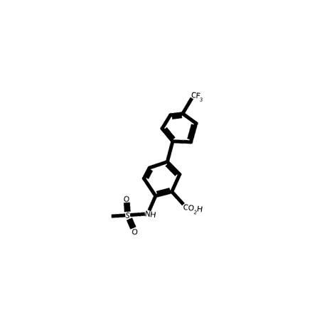 CS(=O)(=O)Nc1ccc(-c2ccc(C(F)(F)F)cc2)cc1C(=O)O